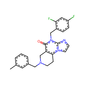 Cc1cccc(CN2CCc3c(c(=O)n(Cc4ccc(F)cc4F)c4nccn34)C2)c1